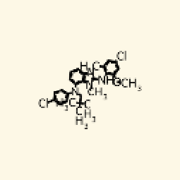 COc1cc(Cl)cc(C)c1Nc1nc2cccc(N(CC(C)(C)C)c3ccc(Cl)cc3)c2n1C